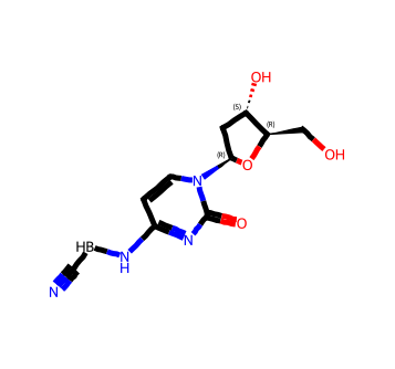 N#CBNc1ccn([C@H]2C[C@H](O)[C@@H](CO)O2)c(=O)n1